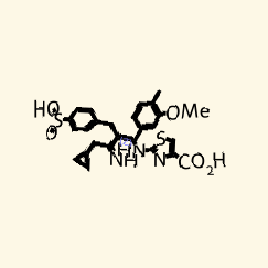 COc1cc(/C(Nc2nc(C(=O)O)cs2)=C(\Cc2ccc(S(=O)O)cc2)C(=N)CC2CC2)ccc1C